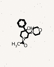 CC(=O)N1CCC(O)(c2ccccc2)C(N2CCOCC2)C1